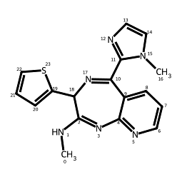 CNC1=Nc2ncccc2C(c2nccn2C)=NC1c1cccs1